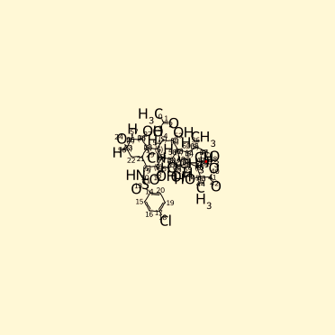 CC(=O)O[C@H]1[C@H]2[C@@H]([C@@H](O)[C@@H](NS(=O)(=O)c3ccc(Cl)cc3)C3C[C@@H]4O[C@@H]4[C@H](O)[C@@]32C)[C@@H]2[C@@H](O)[C@@H]3[C@H]([C@H](C)[C@H]4O[C@]45OC(=O)[C@@](C)(O)[C@]35C)[C@@]2(C(C)=O)[C@H]1O